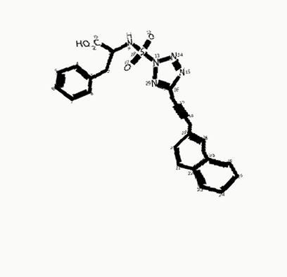 O=C(O)C(Cc1ccccc1)NS(=O)(=O)n1nnc(C#Cc2ccc3ccccc3c2)n1